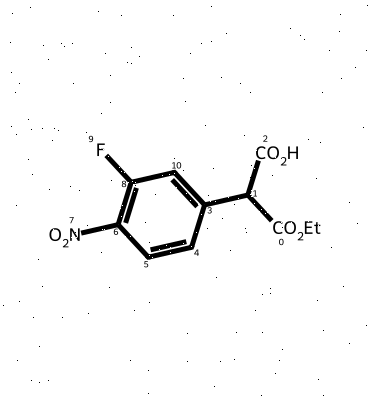 CCOC(=O)C(C(=O)O)c1ccc([N+](=O)[O-])c(F)c1